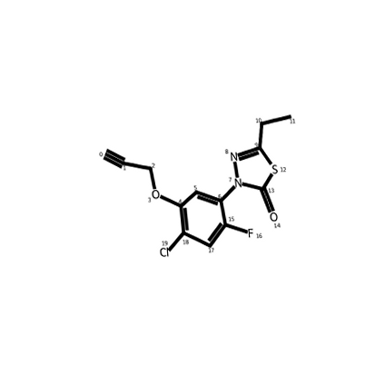 C#CCOc1cc(-n2nc(CC)sc2=O)c(F)cc1Cl